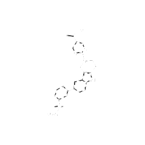 CNS(=O)(=O)c1cccc(-c2ccc3[nH]c4c(c3c2)CN(c2ncc(C(=O)OC)cn2)CC4)c1